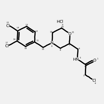 Cl.O=C(CCl)NCC1CN(Cc2ccc(Cl)c(Cl)c2)CCO1